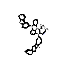 C=CC1=C(/C=C\C)N(c2ccc3oc4cc5ccccc5cc4c3c2)c2cccc3c2B1c1ccccc1N3c1ccc2sc3ccccc3c2c1